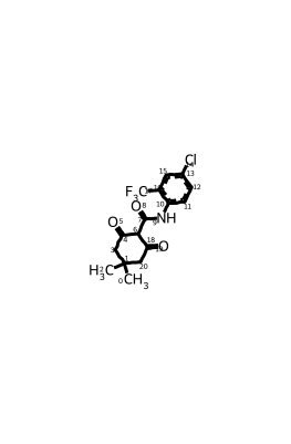 CC1(C)CC(=O)C(C(=O)Nc2ccc(Cl)cc2C(F)(F)F)C(=O)C1